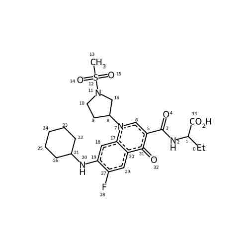 CCC(NC(=O)c1cn(C2CCN(S(C)(=O)=O)C2)c2cc(NC3CCCCC3)c(F)cc2c1=O)C(=O)O